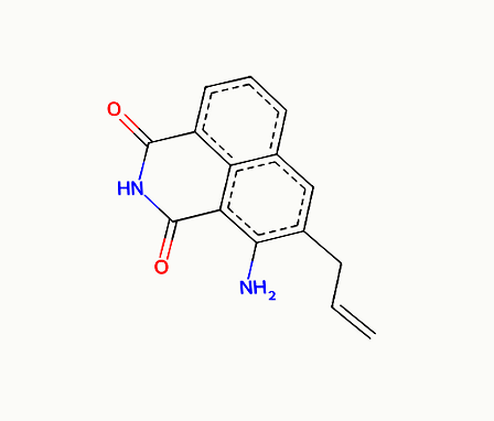 C=CCc1cc2cccc3c2c(c1N)C(=O)NC3=O